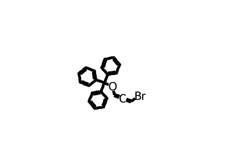 BrC=C=COC(c1ccccc1)(c1ccccc1)c1ccccc1